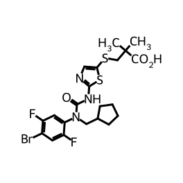 CC(C)(CSc1cnc(NC(=O)N(CC2CCCC2)c2cc(F)c(Br)cc2F)s1)C(=O)O